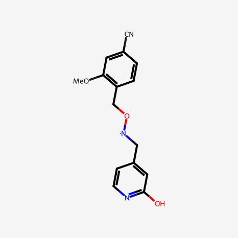 COc1cc(C#N)ccc1CO[N]Cc1ccnc(O)c1